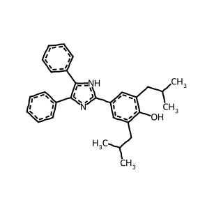 CC(C)Cc1cc(-c2nc(-c3ccccc3)c(-c3ccccc3)[nH]2)cc(CC(C)C)c1O